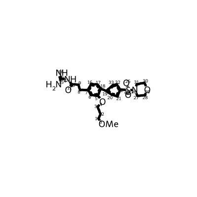 COCCCOc1cc(CCC(=O)NC(=N)N)ccc1-c1ccc(S(=O)(=O)N2CCOCC2)cc1